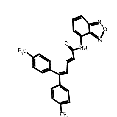 O=C(C=CC=C(c1ccc(C(F)(F)F)cc1)c1ccc(C(F)(F)F)cc1)Nc1cccc2nonc12